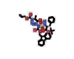 C=CCOC(=O)N[C@@H](C)C(=O)NN(C(=O)OCC1c2ccccc2-c2ccccc21)S(=O)(=O)N[C@H](Cc1ccccc1)C(=O)OC(C)(C)C